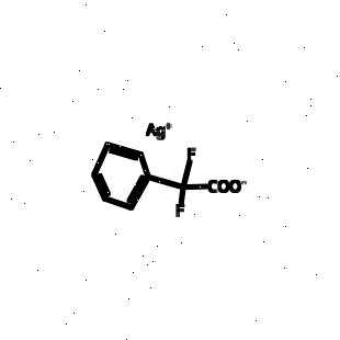 O=C([O-])C(F)(F)c1ccccc1.[Ag+]